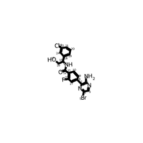 Nc1ncc(Br)nc1-c1ccc(C(=O)NC(CO)c2cccc(Cl)c2)c(F)c1